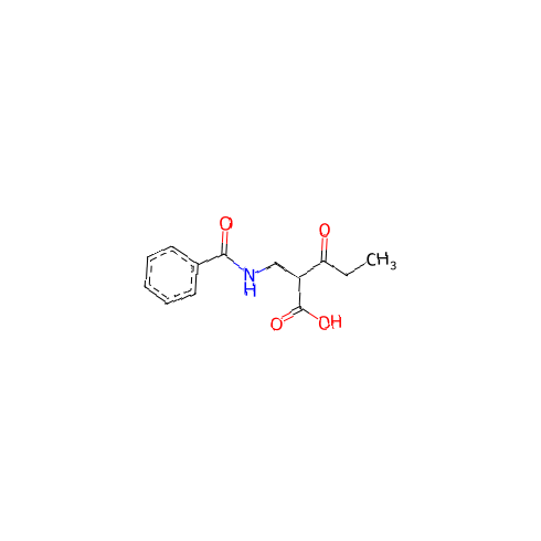 CCC(=O)C(CNC(=O)c1ccccc1)C(=O)O